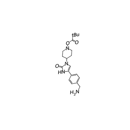 CC(C)(C)C(=O)ON1CCC(n2cc(-c3ccc(CN)cc3)[nH]c2=O)CC1